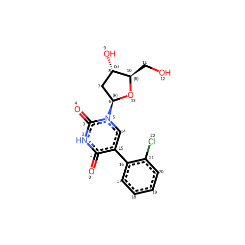 O=c1[nH]c(=O)n([C@H]2C[C@H](O)[C@@H](CO)O2)cc1-c1ccccc1Cl